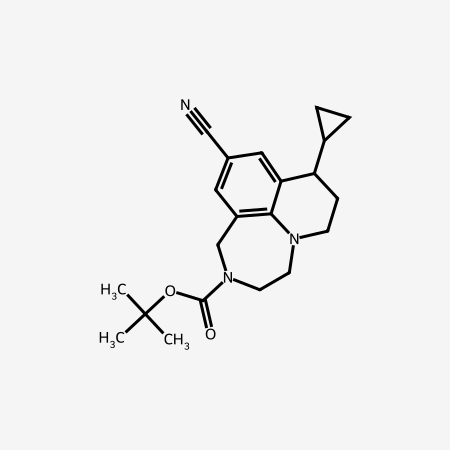 CC(C)(C)OC(=O)N1CCN2CCC(C3CC3)c3cc(C#N)cc(c32)C1